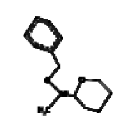 C[SiH](OCc1ccccc1)C1CCCCO1